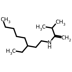 C=C(NCCC(CC)CCCCC)C(C)C